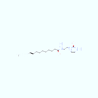 CCCCCCCCC=CCCCCCCCC(=O)NCCN1CCNC1=O